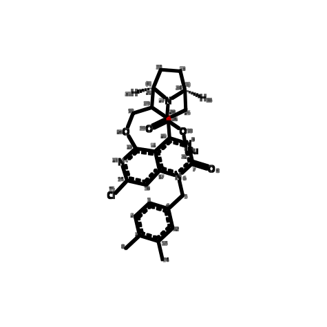 Cc1ccc(Cn2c(=O)nc3c4c(nc(Cl)cc42)OCC2[C@H]4CC[C@@H](CN32)N4C(=O)OC(C)(C)C)cc1C